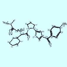 CN[C@@H](C)C(=O)N[C@H](C(=O)N1CCC[C@H]1c1nc(C(=O)c2ccc(C(C)(C)C)cc2)cs1)C1CCCCC1